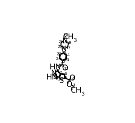 CCOC(=O)c1cc2c(NC(=O)c3ccc(N4CCN(C)CC4)cc3)n[nH]c2s1